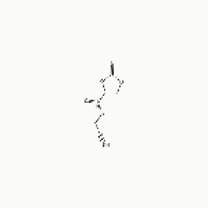 C#CCO[PH](=O)C1COC(=O)O1